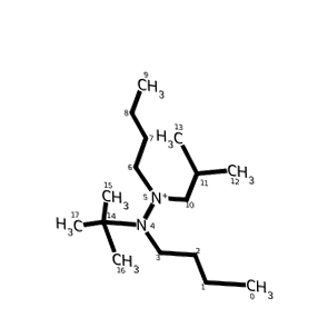 CCCCN([N+](CCCC)CC(C)C)C(C)(C)C